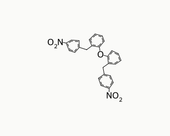 O=[N+]([O-])c1ccc(Cc2ccccc2Oc2ccccc2Cc2ccc([N+](=O)[O-])cc2)cc1